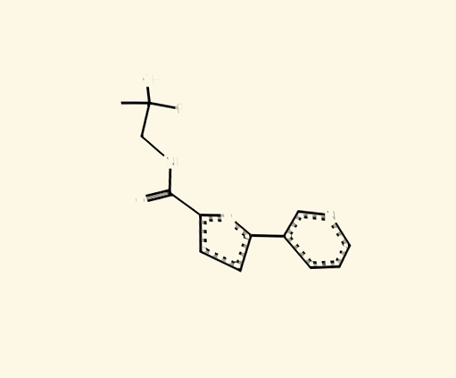 CC(F)(F)CNC(=O)c1ccc(-c2cccnc2)o1